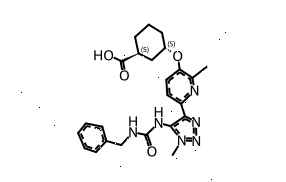 Cc1nc(-c2nnn(C)c2NC(=O)NCc2ccccc2)ccc1O[C@H]1CCC[C@H](C(=O)O)C1